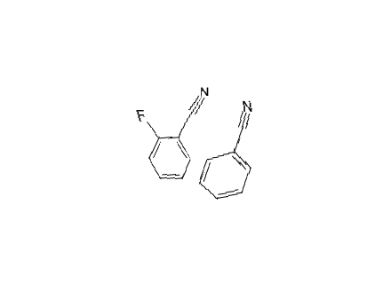 N#Cc1ccccc1.N#Cc1ccccc1F